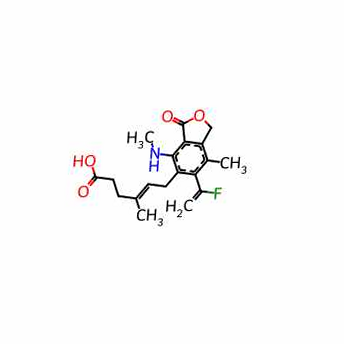 C=C(F)c1c(C)c2c(c(NC)c1C/C=C(\C)CCC(=O)O)C(=O)OC2